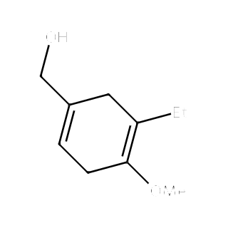 CCC1=C(OC)CC=C(CO)C1